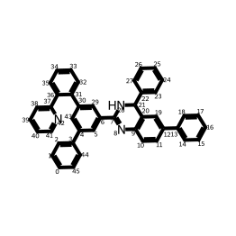 c1ccc(-c2cc(C3=Nc4ccc(-c5ccccc5)cc4C(c4ccccc4)N3)cc(-c3ccccc3-c3ccccn3)c2)cc1